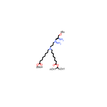 CCCCCCCCCOC(=O)CCCCCCCN(CCCCCCCC(=O)OC(CCCCCCCC)CCCCCCCC)CCCN(N)/C=C(\N)COC(C)(C)C